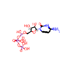 Nc1ccn([C@@H]2OC(COP(=O)(O)OP(=O)(O)OP(=O)(O)O)[C@H](O)C2O)c(=O)n1